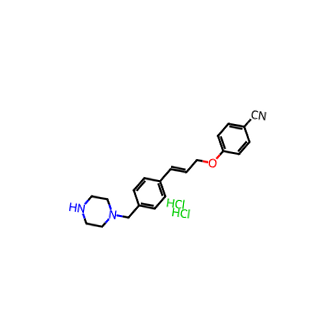 Cl.Cl.N#Cc1ccc(OCC=Cc2ccc(CN3CCNCC3)cc2)cc1